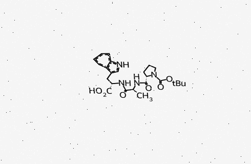 C[C@H](NC(=O)[C@@H]1CCCN1C(=O)OC(C)(C)C)C(=O)N[C@@H](Cc1c[nH]c2ccccc12)C(=O)O